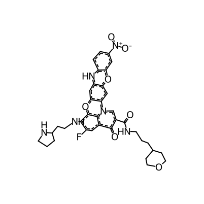 O=C(NCCCC1CCOCC1)c1cn2c3cc4oc5cc([N+](=O)[O-])ccc5[nH]c4cc3oc3c(NCCC4CCCN4)c(F)cc(c1=O)c32